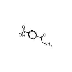 NCC(=O)c1[c]cc([SH](=O)=O)cc1